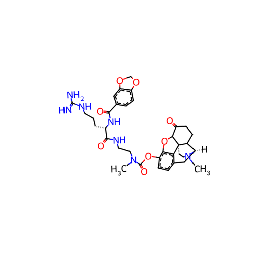 CN(CCNC(=O)[C@H](CCCNC(=N)N)NC(=O)c1ccc2c(c1)OCO2)C(=O)Oc1ccc2c3c1OC1C(=O)CCC4[C@@H](C2)N(C)CC[C@]314